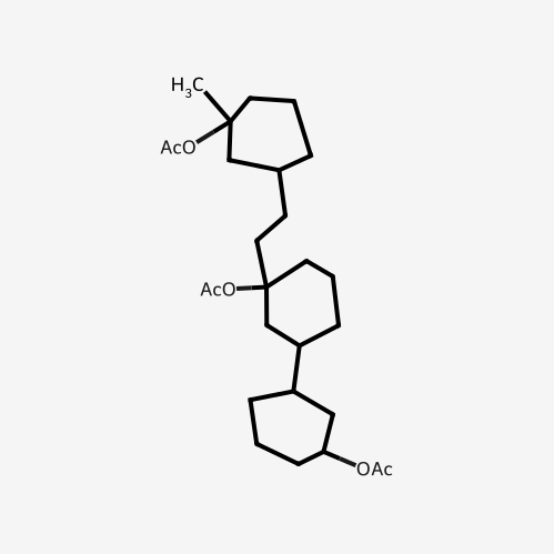 CC(=O)OC1CCCC(C2CCCC(CCC3CCCC(C)(OC(C)=O)C3)(OC(C)=O)C2)C1